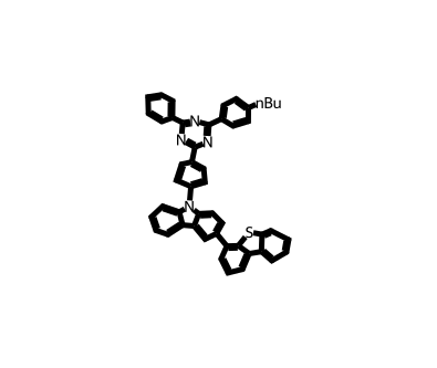 CCCCc1ccc(-c2nc(-c3ccccc3)nc(-c3ccc(-n4c5ccccc5c5cc(-c6cccc7c6sc6ccccc67)ccc54)cc3)n2)cc1